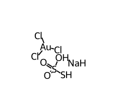 O=S(=O)(O)S.[Cl][Au]([Cl])[Cl].[NaH]